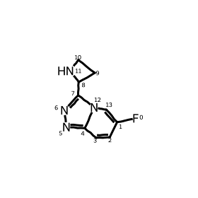 Fc1ccc2nnc(C3CCN3)n2c1